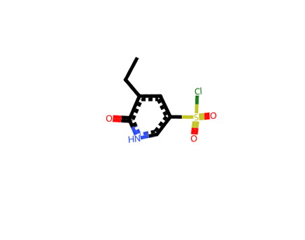 CCc1cc(S(=O)(=O)Cl)c[nH]c1=O